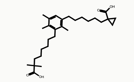 Cc1cc(CCCCCCC2(C(=O)O)CC2)c(C)c(CCCCCCC(C)(C)C(=O)O)c1C